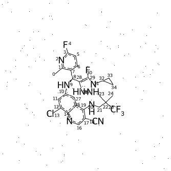 Cc1nc(F)ccc1[C@H](Nc1cc(Cl)c2ncc(C#N)c(NCC(C)(C)C(F)(F)F)c2c1)C1=C(F)N(C2CC2)NN1